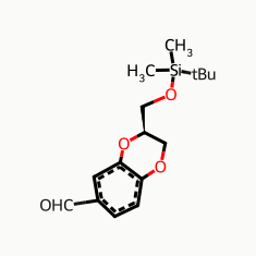 CC(C)(C)[Si](C)(C)OC[C@H]1COc2ccc(C=O)cc2O1